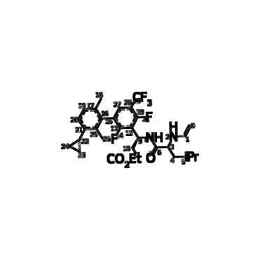 C=CNC(CC(C)C)C(=O)N[C@@H](CC(=O)OCC)c1c(F)c(-c2c(C)ccc(C3CC3)c2C)cc(C(F)(F)F)c1F